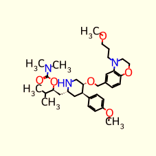 COCCCN1CCOc2ccc(CO[C@H]3CN[C@@H](C[C@H](OC(=O)N(C)C)C(C)C)C[C@@H]3c3ccc(OC)cc3)cc21